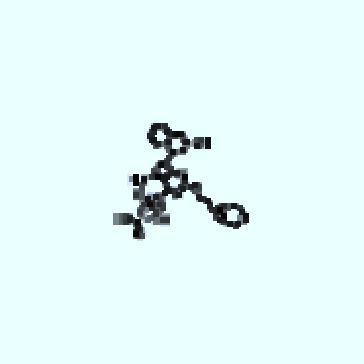 Cn1cc(-c2cc(O)cc3ccccc23)c2nc(OCCCN3C4CCC3COC4)nc(N3C[C@H]4CC[C@@H](C3)N4)c21.O=CO